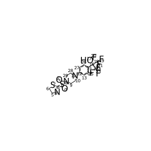 O=S(=O)(C1=NCCS1)N1CCN(c2ccc(C(O)(C(F)(F)F)C(F)(F)F)cc2)CC1